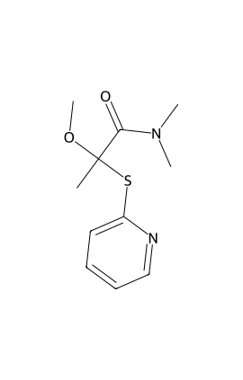 COC(C)(Sc1ccccn1)C(=O)N(C)C